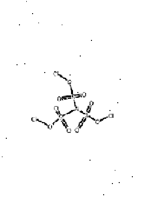 O=[S](=O)(OCl)[Al]([S](=O)(=O)OCl)[S](=O)(=O)OCl